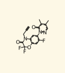 C#CCN1C(=O)C(F)(F)Oc2cc(F)c(-n3ncc(C)c(C)c3=O)cc21